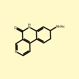 CC(=O)NC1C=c2[nH]c(=O)c3cnccc3c2=CC1